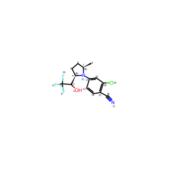 C[C@@H]1CC[C@H](C(O)C(F)(F)F)N1c1ccc(C#N)c(Cl)c1